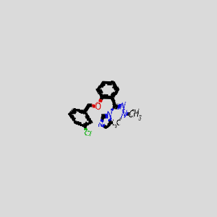 CN(C)N=C(c1ccccc1OCc1cccc(Cl)c1)n1ccnc1